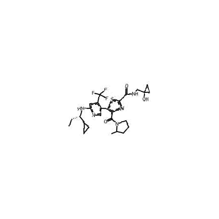 CC[C@H](Nc1cc(C(F)(F)F)c(-c2sc(C(=O)NCC3(O)CC3)nc2C(=O)N2CCCC2C)cn1)C1CC1